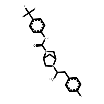 CC(Cc1ccc(F)cc1)N1CC2CC1CN2C(=O)Nc1ccc(C(F)(F)F)cc1